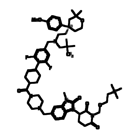 COc1ccc([C@]2(CCN(Cc3cc(F)c(C4=CCC(C(=O)N5CCN(Cc6ccc7c(c6)n(C)c(=O)n7C6CCC(=O)N(COCC[Si](C)(C)C)C6=O)CC5)CC4)c(F)c3)CC(C)(C)C(F)(F)F)CCOC(C)(C)C2)cc1